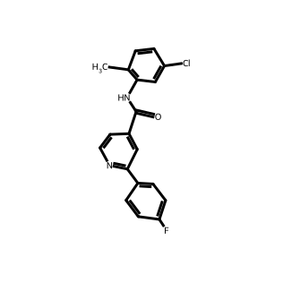 Cc1ccc(Cl)cc1NC(=O)c1ccnc(-c2ccc(F)cc2)c1